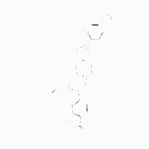 C=CCNC(CN1CCC2(CC1)CCN(c1ccc(C#N)cn1)C2)c1ccc2c(c1C)COC2=O